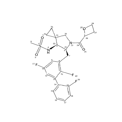 CS(=O)(=O)N[C@@H]1[C@H](Cc2cc(F)cc(-c3ccccc3F)c2F)N(C(=O)C2CCO2)CC12CC2